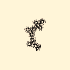 FC(F)(F)c1ccc(-n2c3ccccc3c3cc(-c4ccc(N(c5ccccc5)c5ccc(-c6c7ccccc7c(-c7ccccc7)c7ccccc67)cc5)cc4)ccc32)cc1